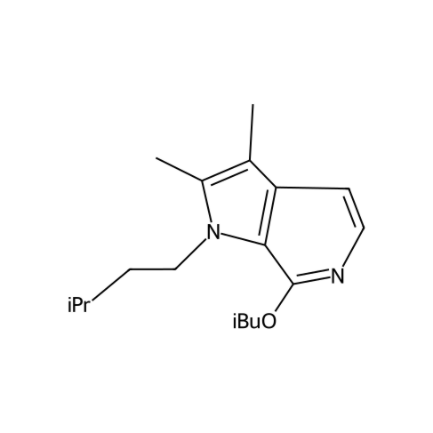 Cc1c(C)n(CCC(C)C)c2c(OCC(C)C)nccc12